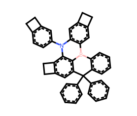 c1ccc(C2(c3ccccc3)c3ccccc3B3c4cc5c(cc4N(c4ccc6c(c4)CC6)c4c6c(cc2c43)CC6)CC5)cc1